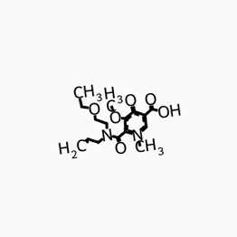 C=CCN(CCOCC)C(=O)c1c(OC)c(=O)c(C(=O)O)cn1C